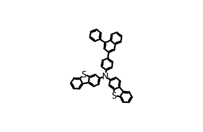 c1ccc(-c2cc(-c3ccc(N(c4ccc5c(c4)sc4ccccc45)c4ccc5c(c4)sc4ccccc45)cc3)cc3ccccc23)cc1